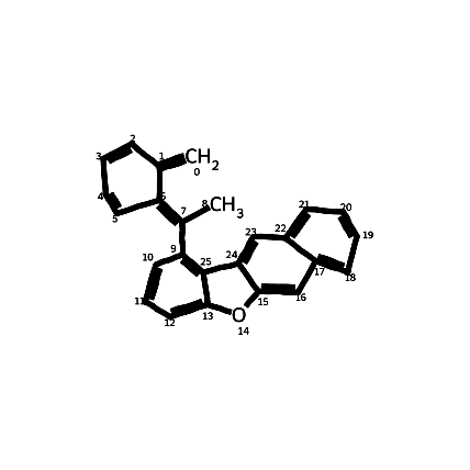 C=c1cccc/c1=C(/C)c1cccc2oc3cc4ccccc4cc3c12